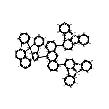 c1ccc2c(c1)-c1ccc3ccccc3c1C21c2ccccc2-c2c(-c3c4cccc(-c5ccc6c7ccccc7n7c8ccccc8c5c67)c4cc4c(-c5ccc6c7ccccc7n7c8ccccc8c5c67)cccc34)cccc21